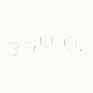 O=C(NC1CC2CCN(CC2)C1)c1ccc(Oc2ccc(C(F)(F)F)nc2)cc1